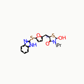 CC(C)N1C(=O)/C(=C\c2ccc(Sc3nc4ccccc4[nH]3)o2)SC1O